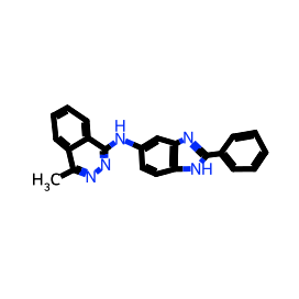 Cc1nnc(Nc2ccc3[nH]c(-c4ccccc4)nc3c2)c2ccccc12